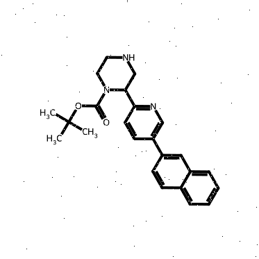 CC(C)(C)OC(=O)N1CCNCC1c1ccc(-c2ccc3ccccc3c2)cn1